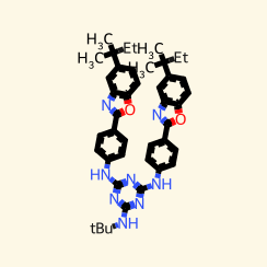 CCC(C)(C)c1ccc2oc(-c3ccc(Nc4nc(Nc5ccc(-c6nc7cc(C(C)(C)CC)ccc7o6)cc5)nc(NC(C)(C)C)n4)cc3)nc2c1